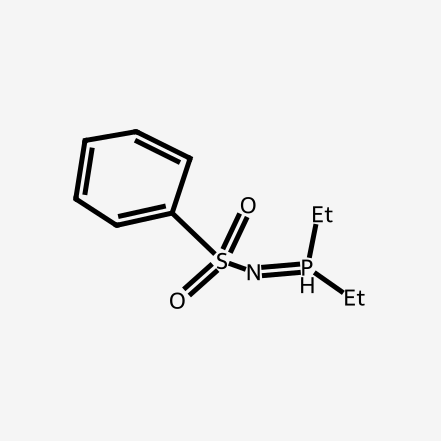 CC[PH](CC)=NS(=O)(=O)c1ccccc1